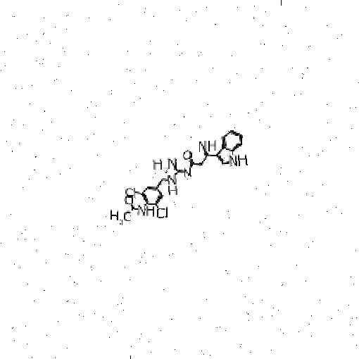 CC(=O)Nc1c(Cl)cc(CN/C(N)=N/C(=O)CC(=N)c2c[nH]c3ccccc23)cc1Cl